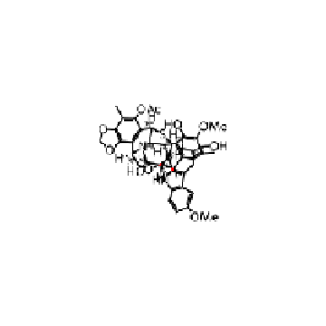 COc1ccc2[nH]c3c(c2c1)C[C@H](CO)N[C@]31CS[C@@H]2c3c(OC(C)=O)c(C)c4c(c3[C@H](COC1=O)N1[C@@H]2[C@@H]2N[C@@H](C(C)c3cc(C)c(OC)c(O)c32)[C@@H]1O)OCO4